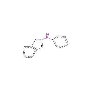 C1=C(Pc2ccccc2)Cc2ccccc21